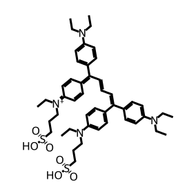 CCN(CC)c1ccc(C(=CC=CC(=C2C=CC(=[N+](CC)CCCS(=O)(=O)O)C=C2)c2ccc(N(CC)CC)cc2)c2ccc(N(CC)CCCS(=O)(=O)O)cc2)cc1